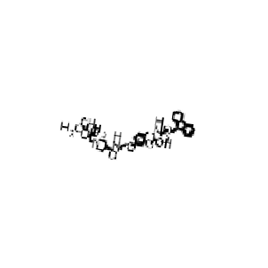 CC(C)(C)OC(=O)CN1CCC(C(=O)NCCOc2ccc(C[C@H](NC(=O)OCC3c4ccccc4-c4ccccc43)C(O)O)cc2)CC1